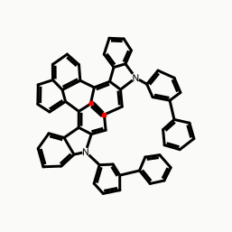 c1ccc(-c2cccc(-n3c4ccccc4c4c(-c5cccc6cccc(-c7cccc8c7c7ccccc7n8-c7cccc(-c8ccccc8)c7)c56)cccc43)c2)cc1